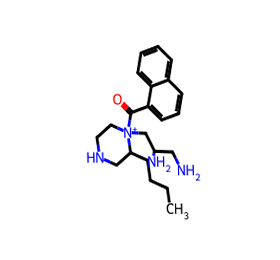 CCCCC1CNCC[N+]1(CC(N)CN)C(=O)c1cccc2ccccc12